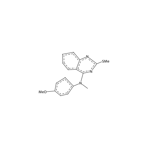 COc1ccc(N(C)c2nc(SC)nc3ccccc23)cc1